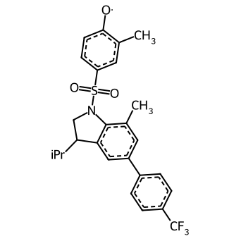 Cc1cc(S(=O)(=O)N2CC(C(C)C)c3cc(-c4ccc(C(F)(F)F)cc4)cc(C)c32)ccc1[O]